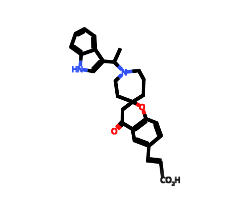 CC(c1c[nH]c2ccccc12)N1CCCC2(CC1)CC(=O)c1cc(/C=C/C(=O)O)ccc1O2